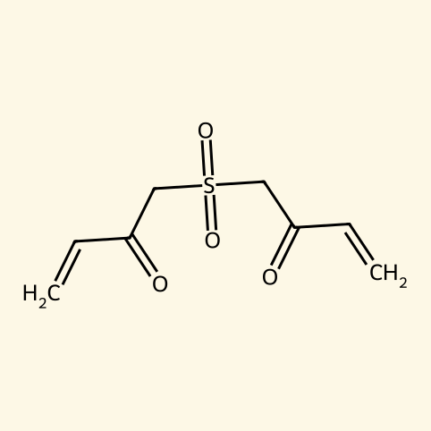 C=CC(=O)CS(=O)(=O)CC(=O)C=C